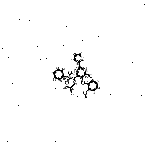 COc1ccccc1Oc1c(Cl)nc(-c2ccco2)nc1N(CC(C)C)S(=O)(=O)c1ccccc1